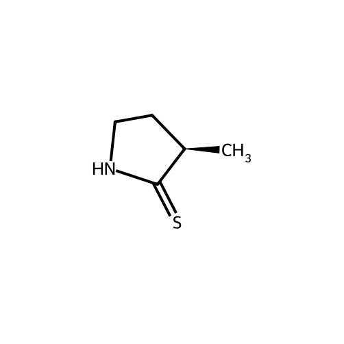 C[C@@H]1CCNC1=S